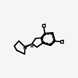 Clc1cc(Cl)c2c(c1)C[C@@H](N1CCCC1)C2